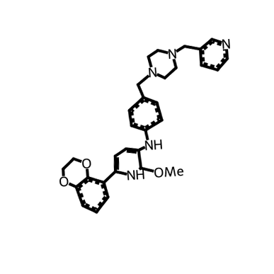 COC1NC(c2cccc3c2OCCO3)=CC=C1Nc1ccc(CN2CCN(Cc3cccnc3)CC2)cc1